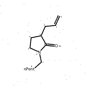 C=CCC1CCN(CCCCCC)C1=O